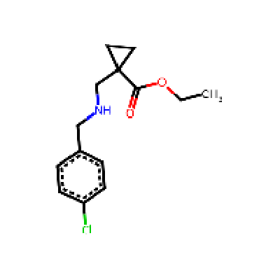 CCOC(=O)C1(CNCc2ccc(Cl)cc2)CC1